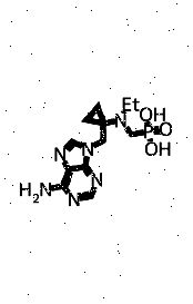 CCN(CP(=O)(O)O)C1(Cn2cnc3c(N)ncnc32)CC1